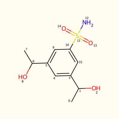 CC(O)c1cc(C(C)O)cc(S(N)(=O)=O)c1